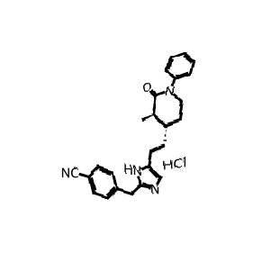 C[C@H]1C(=O)N(c2ccccc2)CC[C@@H]1CCc1cnc(Cc2ccc(C#N)cc2)[nH]1.Cl